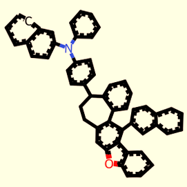 c1ccc(N(c2ccc(C3CCc4cc5oc6ccccc6c5c(-c5ccc6ccccc6c5)c4-c4ccccc43)cc2)c2ccc3ccccc3c2)cc1